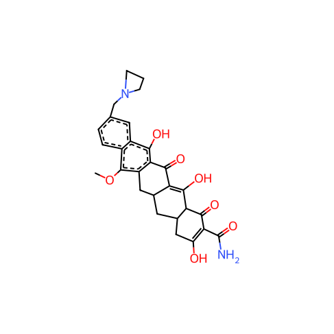 COc1c2c(c(O)c3cc(CN4CCC4)ccc13)C(=O)C1=C(O)C3C(=O)C(C(N)=O)=C(O)CC3CC1C2